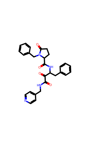 O=C(NCc1ccncc1)C(=O)C(Cc1ccccc1)NC(=O)C1CCC(=O)N1Cc1ccccc1